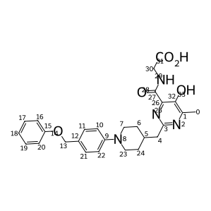 Cc1nc(CC2CCN(c3ccc(COc4ccccc4)cc3)CC2)nc(C(=O)NCC(=O)O)c1O